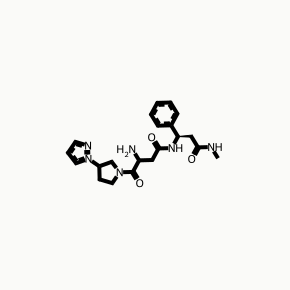 CNC(=O)C[C@@H](NC(=O)CC(N)C(=O)N1CCC(n2cccn2)C1)c1ccccc1